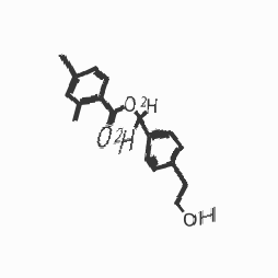 [2H]C([2H])(OC(=O)c1ccc(C)cc1C)c1ccc(CCO)cc1